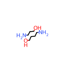 NCCCCO.NCCCO